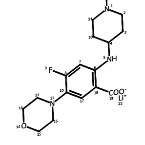 CN1CCC(Nc2cc(F)c(N3CCOCC3)cc2C(=O)[O-])CC1.[Li+]